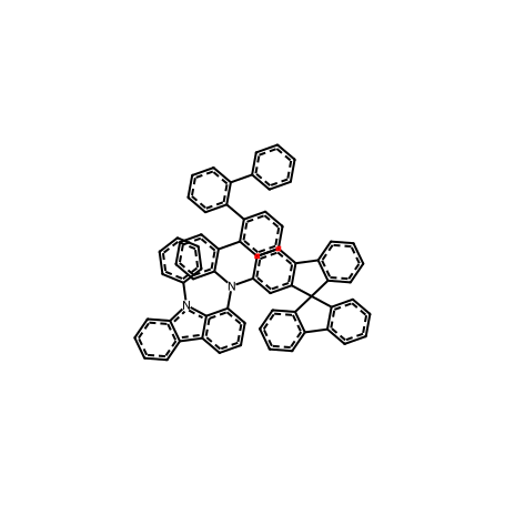 c1ccc(-c2ccccc2-c2ccccc2-c2ccccc2N(c2ccc3c(c2)C2(c4ccccc4-c4ccccc42)c2ccccc2-3)c2cccc3c4ccccc4n(-c4ccccc4)c23)cc1